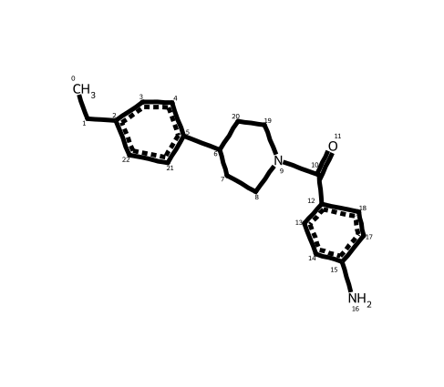 CCc1ccc(C2CCN(C(=O)c3ccc(N)cc3)CC2)cc1